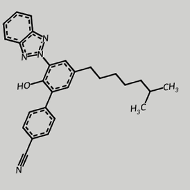 CC(C)CCCCCc1cc(-c2ccc(C#N)cc2)c(O)c(-n2nc3ccccc3n2)c1